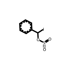 O=[SH](=O)OC(I)c1ccccc1